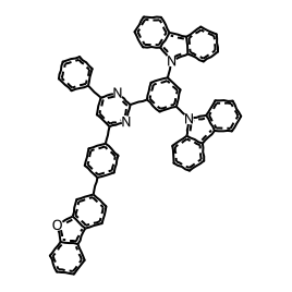 c1ccc(-c2cc(-c3ccc(-c4ccc5c(c4)oc4ccccc45)cc3)nc(-c3cc(-n4c5ccccc5c5ccccc54)cc(-n4c5ccccc5c5ccccc54)c3)n2)cc1